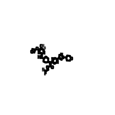 O=C(OCC(F)F)N(c1cnc(-c2cnn(C3CCOCC3)c2)cn1)[C@H]1CC[C@H](Nc2ncc(C(F)(F)F)c(OC3COC3)n2)CC1